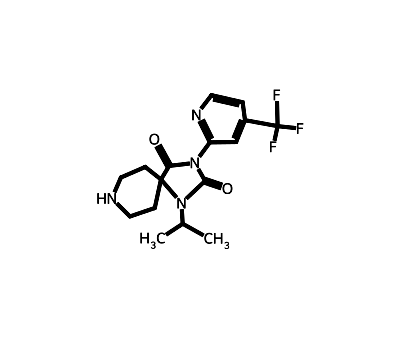 CC(C)N1C(=O)N(c2cc(C(F)(F)F)ccn2)C(=O)C12CCNCC2